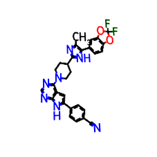 Cc1nc(C2CCN(c3ncnc4[nH]c(-c5ccc(C#N)cc5)cc34)CC2)[nH]c1-c1ccc2c(c1)OC(F)(F)O2